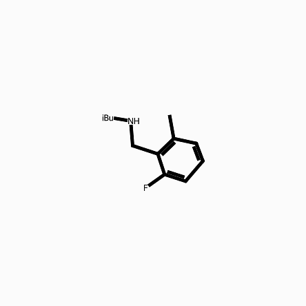 CCC(C)NCc1c(C)cccc1F